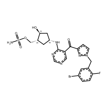 NS(=O)(=O)OC[C@H]1C[C@@H](Nc2ncncc2C(=O)c2ccn(Cc3cc(Br)ccc3F)n2)C[C@@H]1O